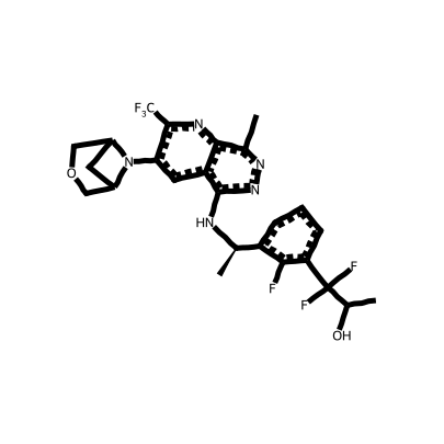 Cc1nnc(N[C@H](C)c2cccc(C(F)(F)C(C)O)c2F)c2cc(N3C4COCC3C4)c(C(F)(F)F)nc12